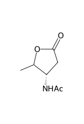 CC(=O)N[C@H]1CC(=O)OC1C